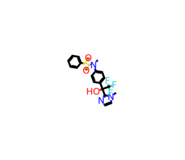 CN(c1ccc(C(O)(c2nccn2C)C(F)(F)F)cc1)S(=O)(=O)c1ccccc1